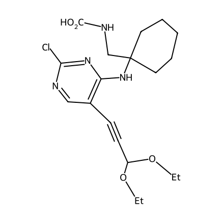 CCOC(C#Cc1cnc(Cl)nc1NC1(CNC(=O)O)CCCCC1)OCC